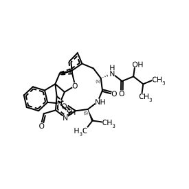 CC(C)C(O)C(=O)N[C@H]1Cc2ccc3c(c2)C2(c4ccccc4N(S)C2O3)c2oc(nc2C=O)[C@H](C(C)C)NC1=O